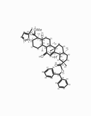 COC(=O)[C@]1(C)[C@@H](n2nccc2C)CC[C@]2(C)C3C(=O)C=C4[C@@H]5C[C@@](C)(C(=O)OC(c6ccccc6)c6ccccc6)CC[C@]5(C)CC[C@@]4(C)[C@]3(C)CC[C@@H]12